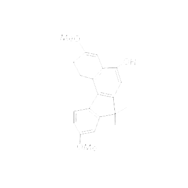 COC1=Cc2c(O)cc3c(c2CC1)-c1ccc(OC)cc1C3(C)C